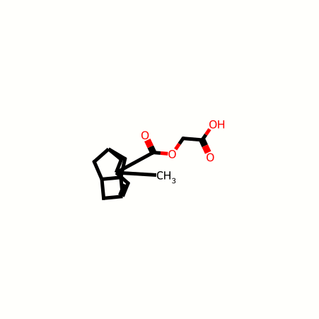 CC1(C(=O)OCC(=O)O)C=C2CC3CC(CC23)C1